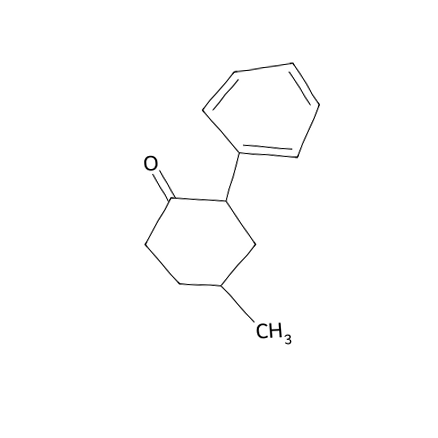 CC1CCC(=O)C(c2ccccc2)C1